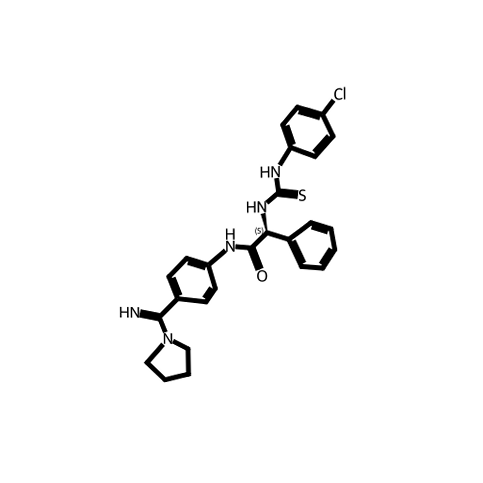 N=C(c1ccc(NC(=O)[C@@H](NC(=S)Nc2ccc(Cl)cc2)c2ccccc2)cc1)N1CCCC1